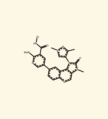 CCNC(=O)c1cc(-c2ccc3ncc4c(c3c2)n(-c2cn(C)nc2C)c(=O)n4C)cnc1NC